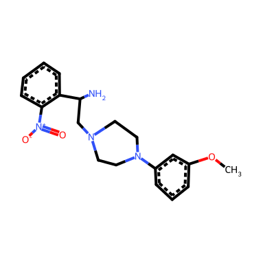 COc1cccc(N2CCN(CC(N)c3ccccc3[N+](=O)[O-])CC2)c1